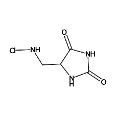 O=C1NC(=O)C(CNCl)N1